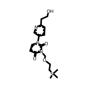 C[Si](C)(C)CCOCn1c(=O)ccn(-c2ccc(CCO)nc2)c1=O